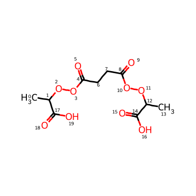 CC(OOC(=O)CCC(=O)OOC(C)C(=O)O)C(=O)O